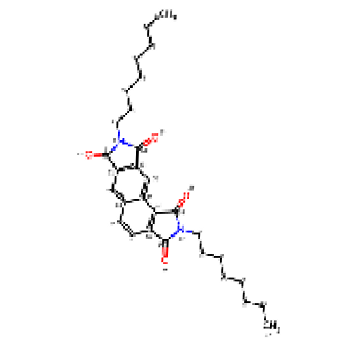 CCCCCCCCn1c(=O)c2cc3ccc4c(=O)n(CCCCCCCC)c(=O)c4c3cc2c1=O